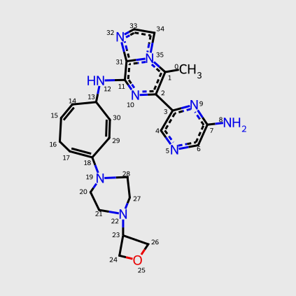 Cc1c(-c2cncc(N)n2)nc(NC2/C=C\C/C=C(N3CCN(C4COC4)CC3)\C=C/2)c2nccn12